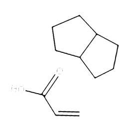 C1CC2CCCC2C1.C=CC(=O)O